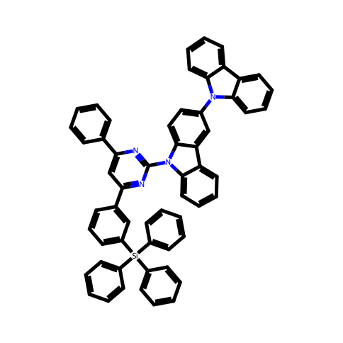 c1ccc(-c2cc(-c3cccc([Si](c4ccccc4)(c4ccccc4)c4ccccc4)c3)nc(-n3c4ccccc4c4cc(-n5c6ccccc6c6ccccc65)ccc43)n2)cc1